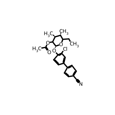 CCC1O[C@H](Oc2ccc(-c3ccc(C#N)cc3)cc2Cl)C(OC(C)=O)[C@@H](C)[C@@H]1C